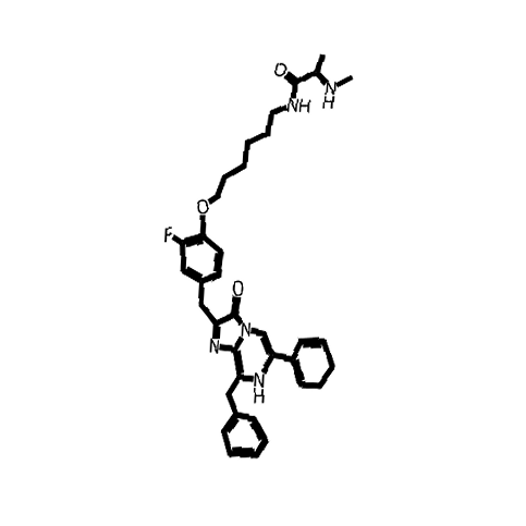 CNC(C)C(=O)NCCCCCCOc1ccc(Cc2nc3c(Cc4ccccc4)[nH]c(C4=CCCC=C4)cn-3c2=O)cc1F